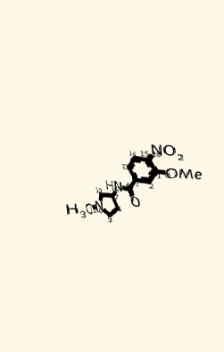 COc1cc(C(=O)NC2CCN(C)C2)ccc1[N+](=O)[O-]